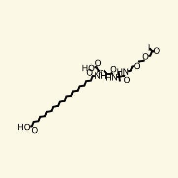 CC(C)(NC(=O)CC[C@H](NC(=O)CCCCCCCCCCCCCCCCCCC(=O)O)C(=O)O)C(=O)NCCOCCOCC(=O)I